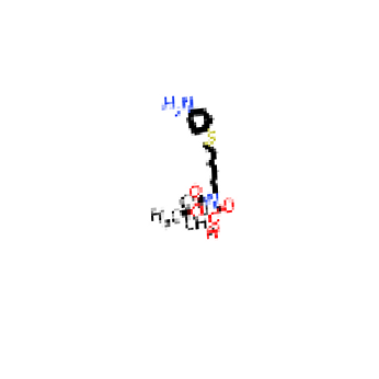 CC(C)(C)OC(=O)N(CCCCCCSc1ccc(N)cc1)C(=O)O